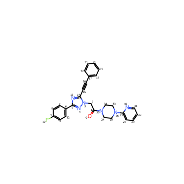 O=C(Cn1nc(-c2ccc(F)cc2)nc1C#Cc1ccccc1)N1CCN(c2ccccn2)CC1